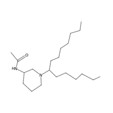 CCCCCCCC(CCCCCC)N1CCCC(NC(C)=O)C1